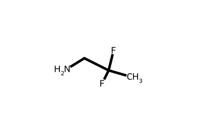 CC(F)(F)CN